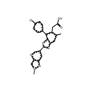 Cc1cc2nc(-c3cnc4cn(C)nc4c3)sc2c(-c2ccc(Cl)cc2)c1CC(=O)O